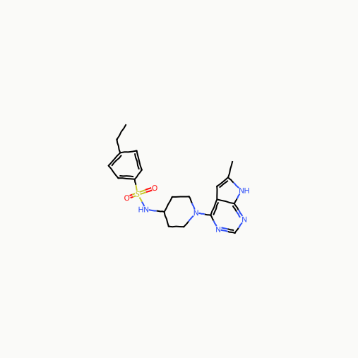 CCc1ccc(S(=O)(=O)NC2CCN(c3ncnc4[nH]c(C)cc34)CC2)cc1